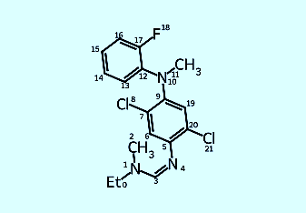 CCN(C)/C=N\c1cc(Cl)c(N(C)c2ccccc2F)cc1Cl